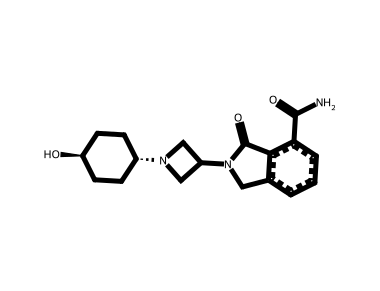 NC(=O)c1cccc2c1C(=O)N(C1CN([C@H]3CC[C@H](O)CC3)C1)C2